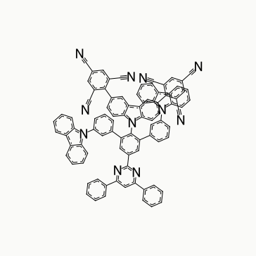 N#Cc1cc(C#N)c(-c2ccc3c(c2)c2cc(-c4c(C#N)cc(C#N)cc4C#N)ccc2n3-c2c(-c3cccc(-n4c5ccccc5c5ccccc54)c3)cc(-c3nc(-c4ccccc4)cc(-c4ccccc4)n3)cc2-c2cccc(-n3c4ccccc4c4ccccc43)c2)c(C#N)c1